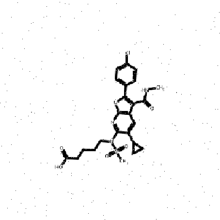 CNC(=O)c1c(-c2ccc(Cl)cc2)oc2nc(N(CCCCC(=O)O)S(C)(=O)=O)c(C3CC3)cc12